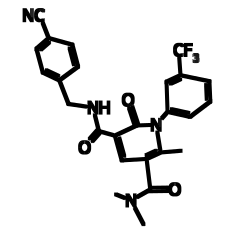 Cc1c(C(=O)N(C)C)cc(C(=O)NCc2ccc(C#N)cc2)c(=O)n1-c1cccc(C(F)(F)F)c1